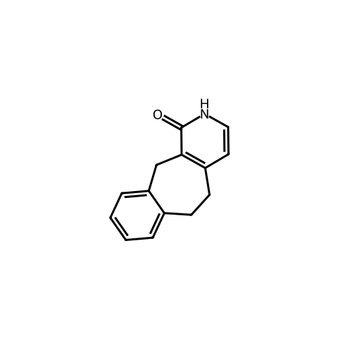 O=c1[nH]ccc2c1Cc1ccccc1CC2